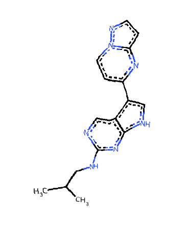 CC(C)CNc1ncc2c(-c3ccn4nccc4n3)c[nH]c2n1